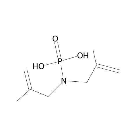 C=C(C)CN(CC(=C)C)P(=O)(O)O